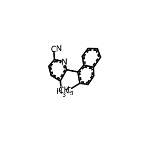 Cc1ccc(C#N)nc1-c1c(C)ccc2ccccc12